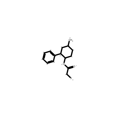 CC1CCC(OC(=O)CF)C(c2ccccc2)C1